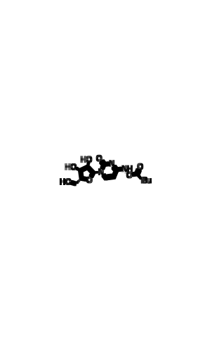 CC[C@H](C)C(=O)ONc1ccn([C@@H]2O[C@H](CO)[C@@H](O)[C@H]2O)c(=O)n1